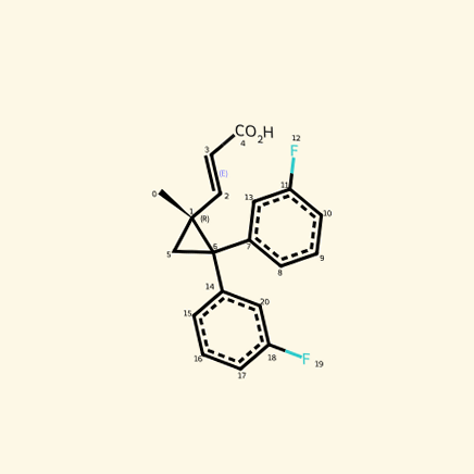 C[C@]1(/C=C/C(=O)O)CC1(c1cccc(F)c1)c1cccc(F)c1